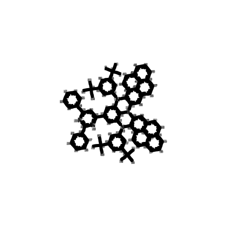 CC(C)(C)c1cc(N2c3cc(-c4cc(-c5ccccc5)nc(-c5ccccc5)n4)cc4c3B(c3cc5ccc6cccc7ccc(c32)c5c67)c2cc3ccc5cccc6ccc(c2N4c2cc(C(C)(C)C)cc(C(C)(C)C)c2)c3c56)cc(C(C)(C)C)c1